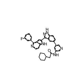 O=C(CC1CCCCC1)Nc1cncc(-c2ccc3[nH]nc(-c4cc5c(-c6cccc(F)c6)nccc5[nH]4)c3c2)c1